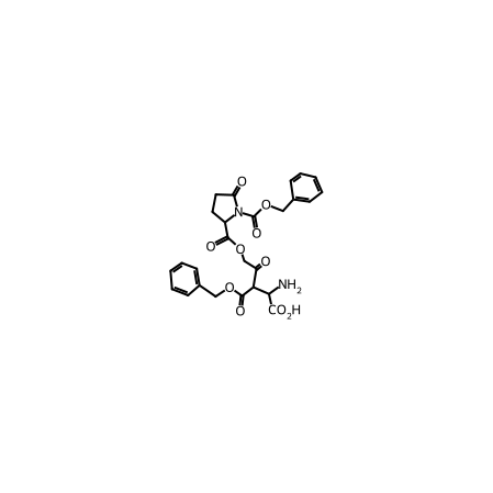 NC(C(=O)O)C(C(=O)COC(=O)C1CCC(=O)N1C(=O)OCc1ccccc1)C(=O)OCc1ccccc1